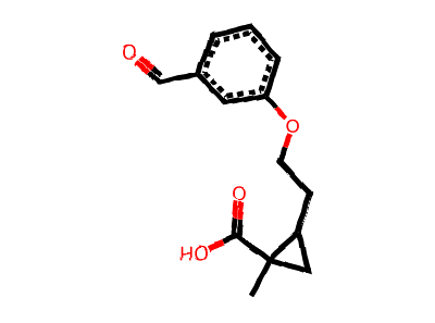 CC1(C(=O)O)CC1CCOc1cccc(C=O)c1